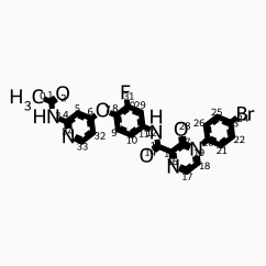 CC(=O)Nc1cc(Oc2ccc(NC(=O)c3nccn(-c4ccc(Br)cc4)c3=O)cc2F)ccn1